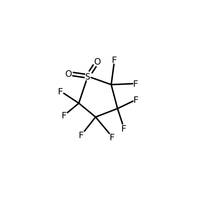 O=S1(=O)C(F)(F)C(F)(F)C(F)(F)C1(F)F